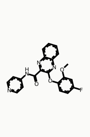 COc1cc(F)ccc1Oc1nc2ccccc2nc1C(=O)Nc1ccncc1